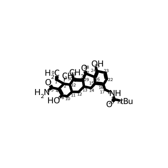 C=C[C@]1(C)C(C(N)=O)=C(O)CC2CC3Cc4c(CNC(=O)C(C)(C)C)ccc(O)c4C(=O)C3=C(C)C21